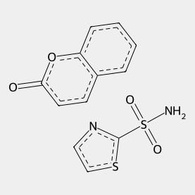 NS(=O)(=O)c1nccs1.O=c1ccc2ccccc2o1